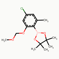 COCOc1cc(Cl)cc(C)c1B1OC(C)(C)C(C)(C)O1